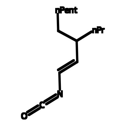 CCCCCCC(/C=C/N=C=O)CCC